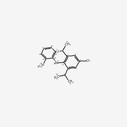 CC(C)c1cc(Cl)cc(C(C)C)c1Nc1ccccc1N